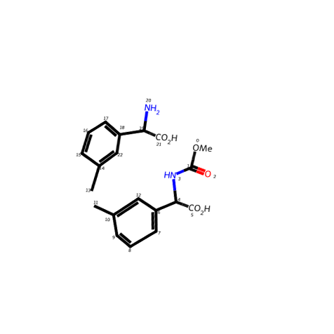 COC(=O)NC(C(=O)O)c1cccc(C)c1.Cc1cccc(C(N)C(=O)O)c1